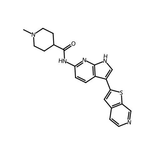 CN1CCC(C(=O)Nc2ccc3c(-c4cc5ccncc5s4)c[nH]c3n2)CC1